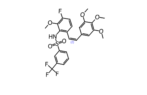 COc1cc(/C=C\c2ccc(F)c(OC)c2NS(=O)(=O)c2cccc(C(F)(F)F)c2)cc(OC)c1OC